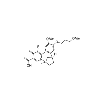 C=C(O)C1=CN2C(=C(F)C1=C)c1cc(OC)c(OCCCOC)cc1[C@H]1CCC2(C)C1